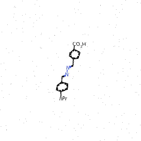 CCCc1ccc(/C=N/N=C/c2ccc(C(=O)O)cc2)cc1